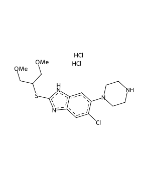 COCC(COC)Sc1nc2cc(Cl)c(N3CCNCC3)cc2[nH]1.Cl.Cl